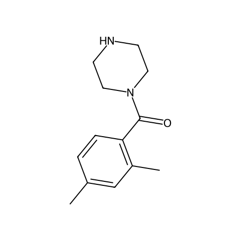 Cc1ccc(C(=O)N2CCNCC2)c(C)c1